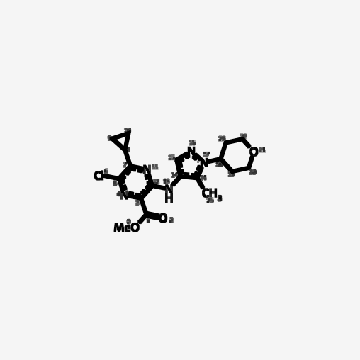 COC(=O)c1nc(Cl)c(C2CC2)nc1Nc1cnn(C2CCOCC2)c1C